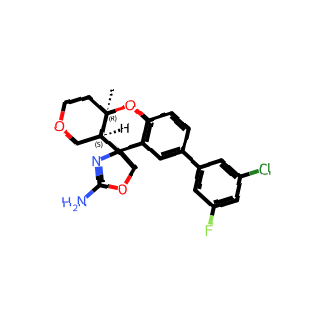 C[C@@]12CCOC[C@@H]1C1(COC(N)=N1)c1cc(-c3cc(F)cc(Cl)c3)ccc1O2